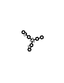 c1ccc(-c2ccc(-c3nc(-c4ccc(-c5cc6ccccc6o5)cc4)nc(-c4ccc5c(c4)sc4ccccc45)n3)cc2)cc1